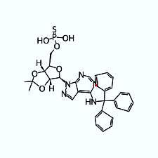 CC1(C)O[C@@H]2[C@H](O1)[C@@H](COP(O)(O)=S)O[C@H]2n1ncc2c(NC(c3ccccc3)(c3ccccc3)c3ccccc3)ncnc21